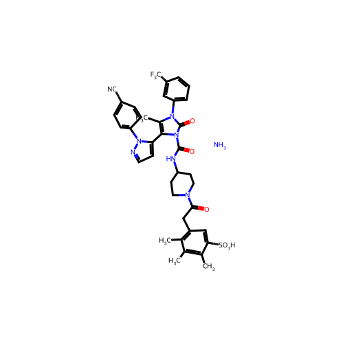 Cc1c(CC(=O)N2CCC(NC(=O)n3c(-c4ccnn4-c4ccc(C#N)cc4)c(C)n(-c4cccc(C(F)(F)F)c4)c3=O)CC2)cc(S(=O)(=O)O)c(C)c1C.N